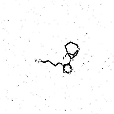 CCCCSc1nsnc1[C@@H]1CN2CCC[C@@H]1C2